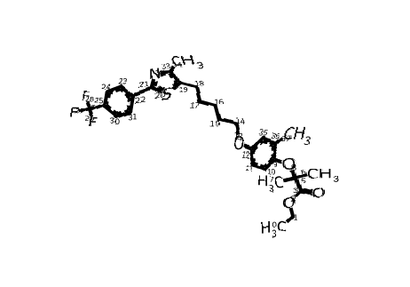 CCOC(=O)C(C)(C)Oc1ccc(OCCCCCc2sc(-c3ccc(C(F)(F)F)cc3)nc2C)cc1C